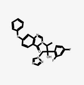 CC(n1cnc2cc(Sc3ccccc3)ccc2c1=O)C(O)(Cn1cncn1)c1ccc(F)cc1F